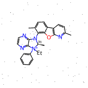 CC[N+]1(c2ccccc2)c2nccnc2N(c2c(C)ccc3c2oc2nc(C)ccc23)[C@H]1C